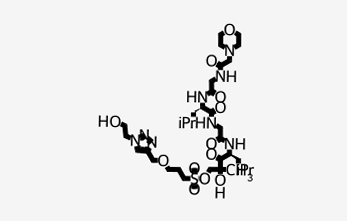 CC(C)C[C@H](NC(=O)CNC(=O)CN1CCOCC1)C(=O)NCC(=O)N[C@@H](CC(C)C)C(=O)C(C)(O)COS(=O)(=O)CCCOCc1cn(CCO)nn1